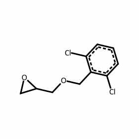 Clc1cccc(Cl)c1COCC1CO1